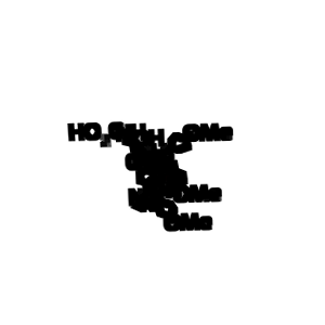 COc1ccc(CN(Cc2ccc(OC)cc2)S(=O)(=O)c2c(S(=O)(=O)NCC(O)CNC(=O)O)ccc(N3CCn4ccnc43)c2-c2nnnn2Cc2ccc(OC)cc2)cc1